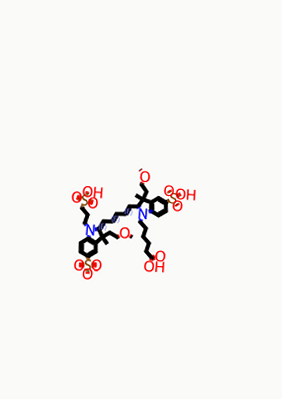 COCCC1(C)C(/C=C/C=C/C=C2/N(CCCS(=O)(=O)O)c3ccc(S(=O)(=O)[O-])cc3C2(C)CCOC)=[N+](CCCCCC(=O)O)c2ccc(S(=O)(=O)O)cc21